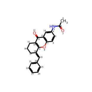 CC(=O)Nc1ccc2oc3c(c(=O)c2c1)CCCC3=Cc1ccccc1